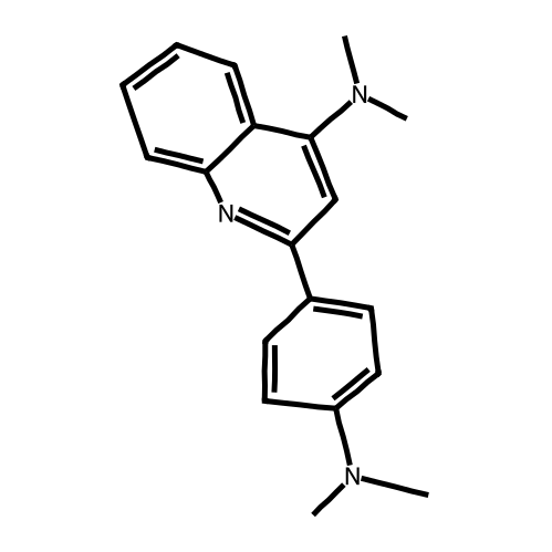 CN(C)c1ccc(-c2cc(N(C)C)c3ccccc3n2)cc1